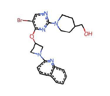 OCC1CCN(c2ncc(Br)c(OC3CN(c4ccc5ccccc5n4)C3)n2)CC1